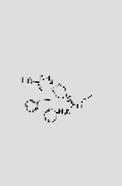 CCCOC(N)=S.Cc1ccccc1.NC(O)=S.c1ccc(CCN2CCCCC2)cc1